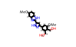 COc1ccc2[nH]c(-c3cc(-c4cc(CO)c(CO)c(OC)c4)n[nH]3)nc2c1